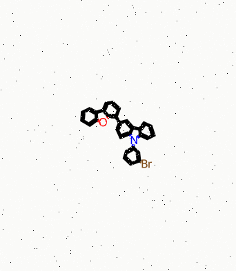 Brc1cccc(-n2c3ccccc3c3cc(-c4cccc5c4oc4ccccc45)ccc32)c1